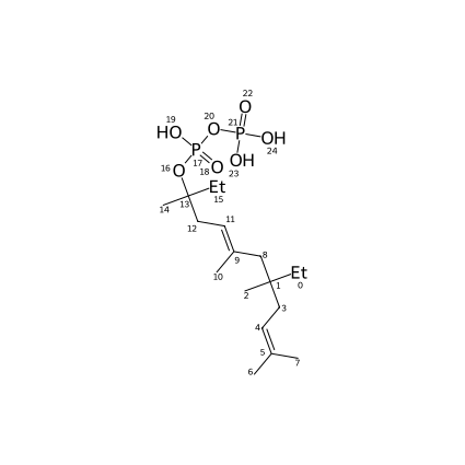 CCC(C)(CC=C(C)C)C/C(C)=C/CC(C)(CC)OP(=O)(O)OP(=O)(O)O